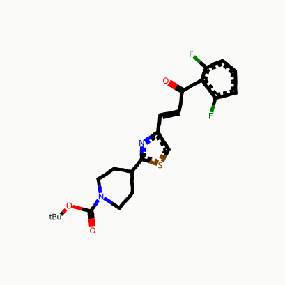 CC(C)(C)OC(=O)N1CCC(c2nc(/C=C/C(=O)c3c(F)cccc3F)cs2)CC1